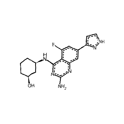 Nc1nc(N[C@@H]2CCC[C@H](O)C2)c2c(F)cc(-c3cc[nH]n3)cc2n1